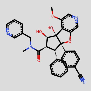 COc1cncc2c1[C@]1(O)[C@H](O)[C@H](C(=O)N(C)Cc3cccnc3)[C@@H](c3ccccc3)[C@]1(c1ccc(C#N)cc1)O2